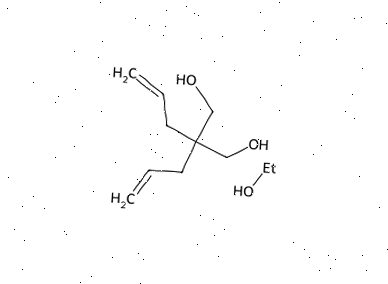 C=CCC(CO)(CO)CC=C.CCO